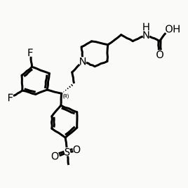 CS(=O)(=O)c1ccc([C@@H](CCN2CCC(CCNC(=O)O)CC2)c2cc(F)cc(F)c2)cc1